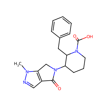 Cn1ncc2c1CN(C1CCCN(C(=O)O)C1Cc1ccccc1)C2=O